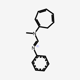 CN(/C=N/c1ccccc1)C1=CC=CC=CC1